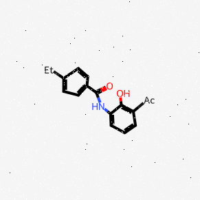 CCc1ccc(C(=O)Nc2cccc(C(C)=O)c2O)cc1